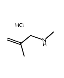 C=C(C)CNC.Cl